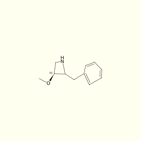 CO[C@H]1CNC1Cc1ccccc1